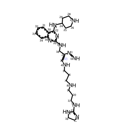 N=N/C(=C\NCCCNCCCNC1=NCCN1)CNc1nc(NC2CCNCC2)c2ccccc2n1